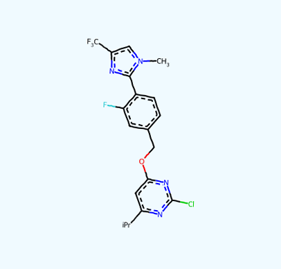 CC(C)c1cc(OCc2ccc(-c3nc(C(F)(F)F)cn3C)c(F)c2)nc(Cl)n1